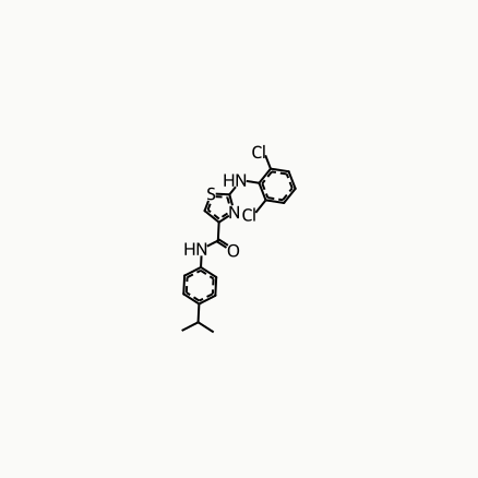 CC(C)c1ccc(NC(=O)c2csc(Nc3c(Cl)cccc3Cl)n2)cc1